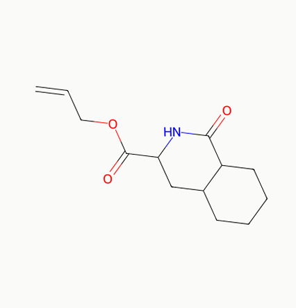 C=CCOC(=O)C1CC2CCCCC2C(=O)N1